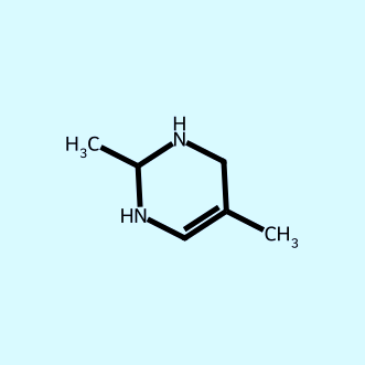 CC1=CNC(C)NC1